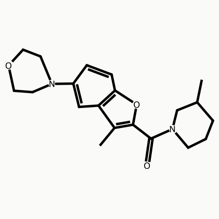 Cc1c(C(=O)N2CCCC(C)C2)oc2ccc(N3CCOCC3)cc12